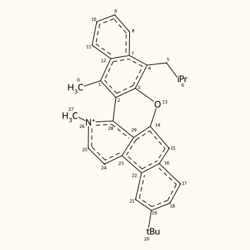 Cc1c2c(c(CC(C)C)c3ccccc13)Oc1cc3ccc(C(C)(C)C)cc3c3cc[n+](C)c-2c13